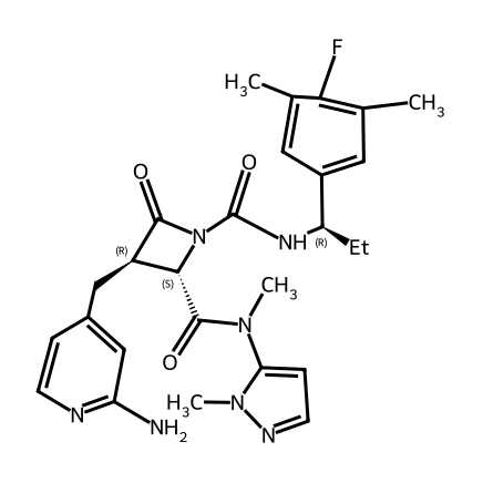 CC[C@@H](NC(=O)N1C(=O)[C@H](Cc2ccnc(N)c2)[C@H]1C(=O)N(C)c1ccnn1C)c1cc(C)c(F)c(C)c1